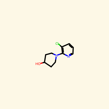 OC1CCN(c2ncc[c]c2Cl)CC1